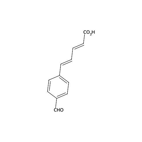 O=Cc1ccc(C=CC=CC(=O)O)cc1